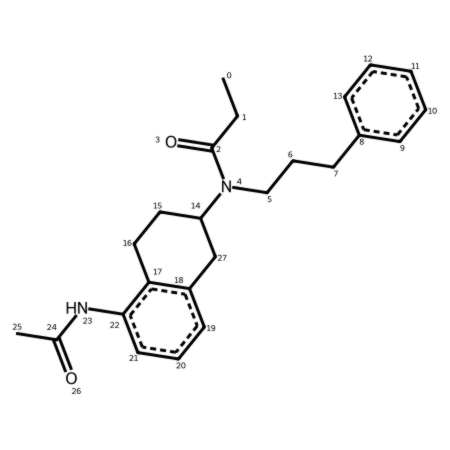 CCC(=O)N(CCCc1ccccc1)C1CCc2c(cccc2NC(C)=O)C1